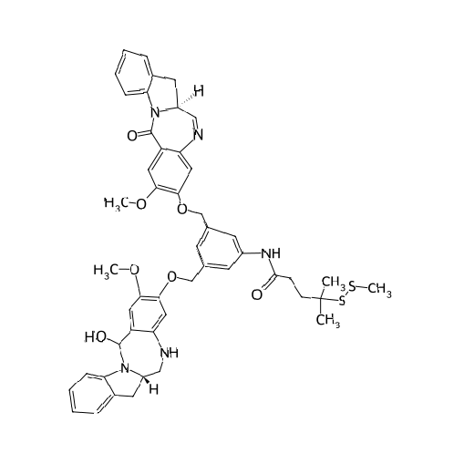 COc1cc2c(cc1OCc1cc(COc3cc4c(cc3OC)C(O)N3c5ccccc5C[C@H]3CN4)cc(NC(=O)CCC(C)(C)SSC)c1)N=C[C@@H]1Cc3ccccc3N1C2=O